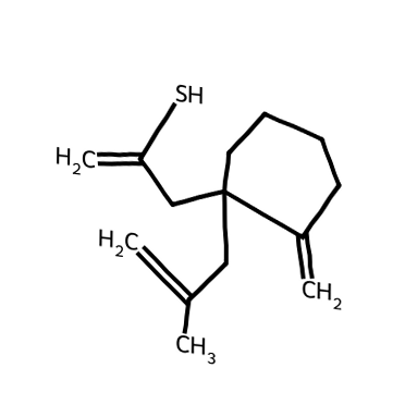 C=C(C)CC1(CC(=C)S)CCCCC1=C